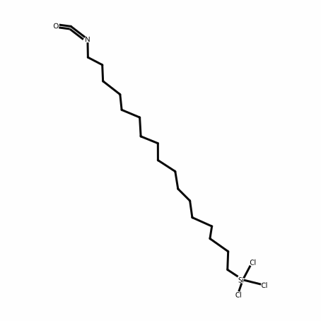 O=C=NCCCCCCCCCCCCCCCCC[Si](Cl)(Cl)Cl